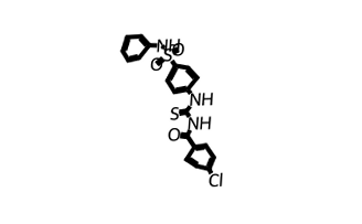 O=C(NC(=S)Nc1ccc(S(=O)(=O)Nc2ccccc2)cc1)c1ccc(Cl)cc1